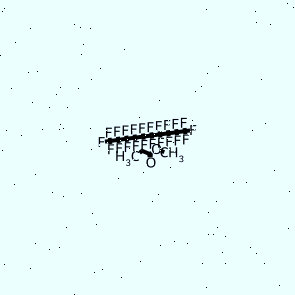 CCC(=O)OC.FC(F)(F)C(F)(F)C(F)(F)C(F)(F)C(F)(F)C(F)(F)C(F)(F)C(F)(F)C(F)(F)C(F)(F)F